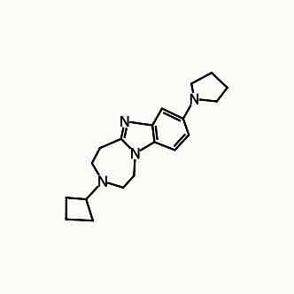 c1cc2c(cc1N1CCCC1)nc1n2CCN(C2CCC2)CC1